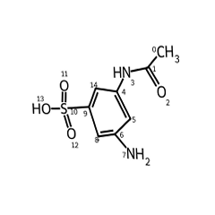 CC(=O)Nc1cc(N)[c]c(S(=O)(=O)O)c1